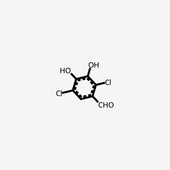 O=Cc1cc(Cl)c(O)c(O)c1Cl